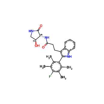 Bc1c(B)c(-c2[nH]c3ccccc3c2CCC(=O)N[C@H]2C(=O)NC[C@@H]2O)c(B)c(B)c1F